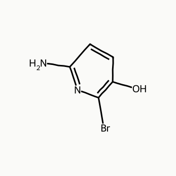 Nc1ccc(O)c(Br)n1